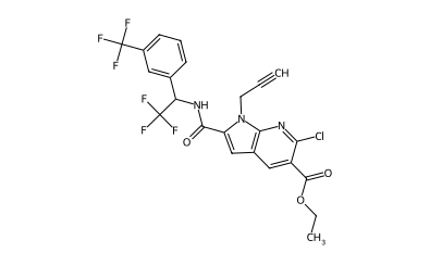 C#CCn1c(C(=O)NC(c2cccc(C(F)(F)F)c2)C(F)(F)F)cc2cc(C(=O)OCC)c(Cl)nc21